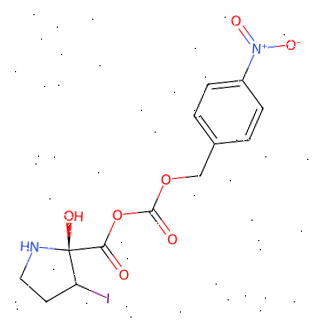 O=C(OCc1ccc([N+](=O)[O-])cc1)OC(=O)[C@@]1(O)NCCC1I